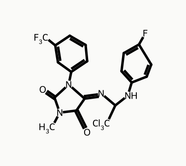 CN1C(=O)C(=NC(Nc2ccc(F)cc2)C(Cl)(Cl)Cl)N(c2cccc(C(F)(F)F)c2)C1=O